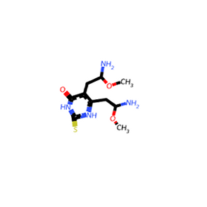 COC(N)Cc1[nH]c(=S)[nH]c(=O)c1CC(N)OC